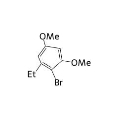 CCc1cc(OC)cc(OC)c1Br